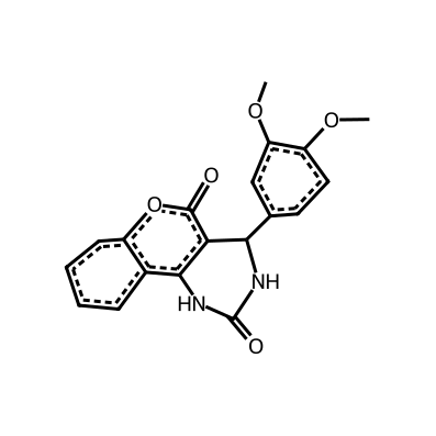 COc1ccc(C2NC(=O)Nc3c2c(=O)oc2ccccc32)cc1OC